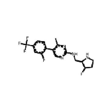 Cc1nc(NCC2NCCC2F)ncc1-c1ccc(C(F)(F)F)cc1F